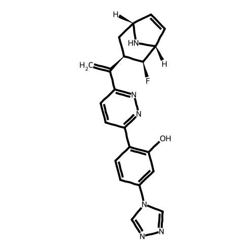 C=C(c1ccc(-c2ccc(-n3cnnc3)cc2O)nn1)[C@H]1C[C@@H]2C=C[C@@H](N2)[C@H]1F